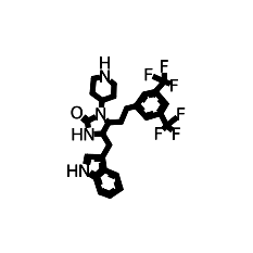 O=C1NC(Cc2c[nH]c3ccccc23)C(CCc2cc(C(F)(F)F)cc(C(F)(F)F)c2)N1C1CCNCC1